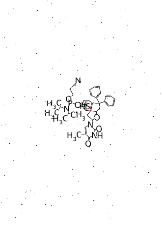 CC(C)N(C(C)C)[P@](O)OCCC#N.Cc1cn([C@H]2C[C@H](S)[C@@H](CC(c3ccccc3)(c3ccccc3)c3ccccc3)O2)c(=O)[nH]c1=O